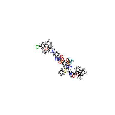 CC(C)(C)[Si](C)(C)O[C@@H](c1ccccc1-c1ccc(Cl)cc1)C1CCN(c2ccc(C(=O)NS(=O)(=O)c3ccc(NC(CCN4CCOC(CO[Si](c5ccccc5)(c5ccccc5)C(C)(C)C)C4)CSc4ccccc4)c(S(=O)(=O)C(F)(F)F)c3)cc2)CC1